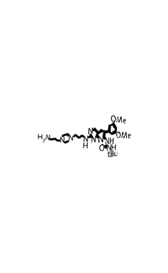 COc1cc(OC)cc(-c2cc3cnc(NCCCN4CCN(CCCN)CC4)nc3nc2NC(=O)NC(C)(C)C)c1